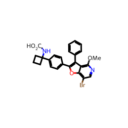 COc1ncc(Br)c2oc(-c3ccc(C4(NC(=O)O)CCC4)cc3)c(-c3ccccc3)c12